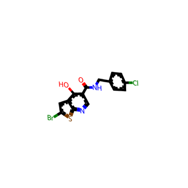 O=C(NCc1ccc(Cl)cc1)c1cnc2sc(Br)cc2c1O